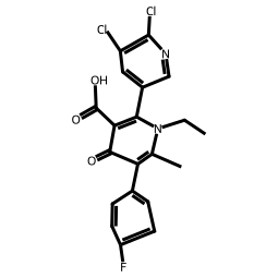 CCn1c(C)c(-c2ccc(F)cc2)c(=O)c(C(=O)O)c1-c1cnc(Cl)c(Cl)c1